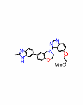 COCCOc1ccc2ncnc(N3CCOc4ccc(-c5ccc6nc(C)[nH]c6c5)cc4C3)c2c1